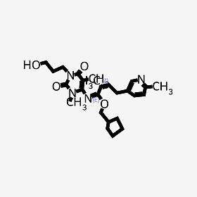 CC(=C/Cc1ccc(C)nc1)/C(=N\c1c(C)c(=O)n(CCCO)c(=O)n1C)OCC1CCCC1